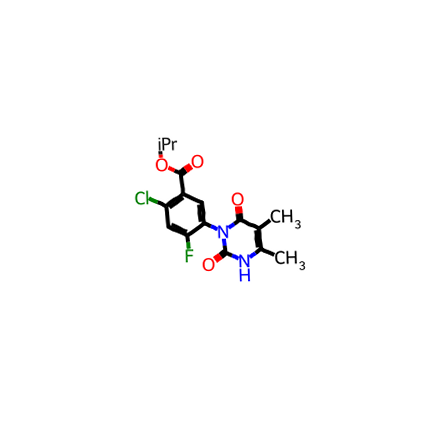 Cc1[nH]c(=O)n(-c2cc(C(=O)OC(C)C)c(Cl)cc2F)c(=O)c1C